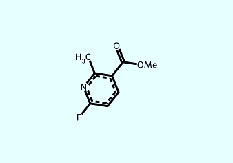 COC(=O)c1ccc(F)nc1C